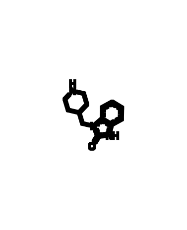 O=c1[nH]c2ccccc2n1CC1CCNCC1